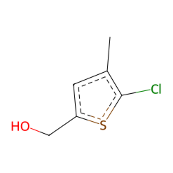 Cc1cc(CO)sc1Cl